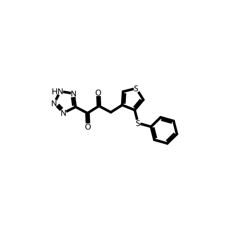 O=C(Cc1cscc1Sc1ccccc1)C(=O)c1nn[nH]n1